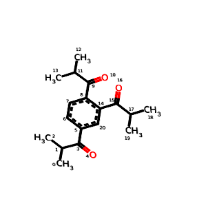 CC(C)C(=O)c1ccc(C(=O)C(C)C)c(C(=O)C(C)C)c1